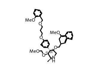 COCO[C@H]1[C@H](c2ccc(OCCCOCc3ccccc3OC)cc2)[C@@H](OCC2C=c3ccccc3=C(OC)C2)CN[C@H]1C